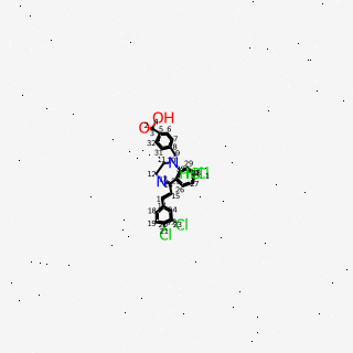 Cl.Cl.O=C(O)c1ccc(CN2CCN=C(C=Cc3ccc(Cl)c(Cl)c3)c3ccccc32)cc1